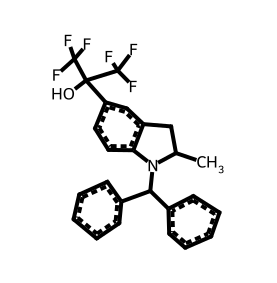 CC1Cc2cc(C(O)(C(F)(F)F)C(F)(F)F)ccc2N1C(c1ccccc1)c1ccccc1